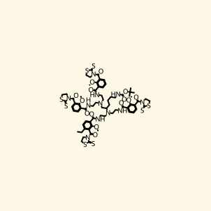 CCc1ccc(C(=O)NCCN(CCNC(=O)c2cccc(C(=O)N3CCSC3=S)c2OC)C(CCCCNC(=O)OC(C)(C)C)CN(CCNC(=O)c2cccc(C(=O)N3CCSC3=S)c2OC)CCNC(=O)c2cccc(C(=O)N3CCSC3=S)c2OC)c(OC)c1C(=O)N1CCSC1=S